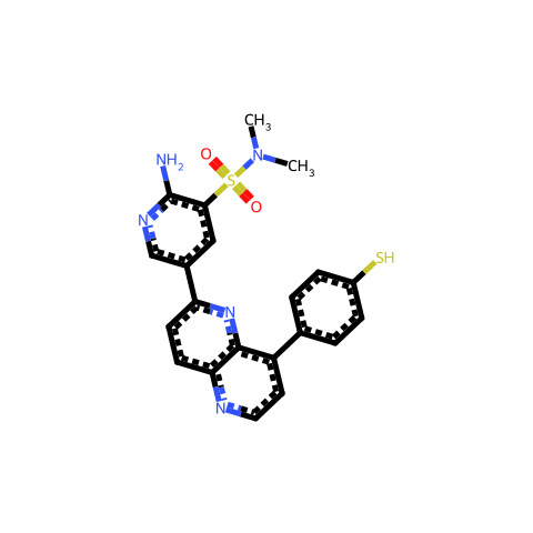 CN(C)S(=O)(=O)c1cc(-c2ccc3nccc(-c4ccc(S)cc4)c3n2)cnc1N